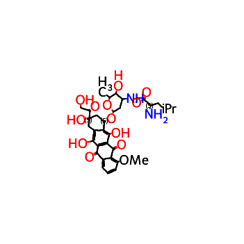 COc1cccc2c1C(=O)c1c(O)c3c(c(O)c1C2=O)C[C@@](O)(C(=O)CO)C[C@@H]3OC1CC(NOC(=O)[C@@H](N)CC(C)C)C(O)C(C)O1